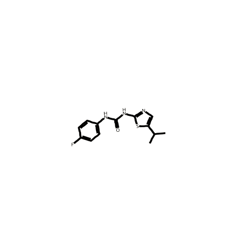 CC(C)c1cnc(NC(=O)Nc2ccc(F)cc2)s1